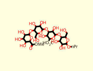 CCCOC1OC(CO)C(OC2OC(C(=O)O)C(O)C(OC3OC(CO)C(OC4OC(C(=O)OC)C(O)C(O)C4O)C(O)C3O)C2O)C(O)C1O